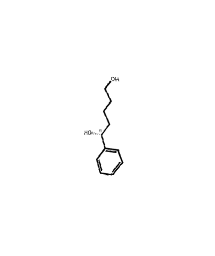 OCCCC[C@@H](O)c1ccccc1